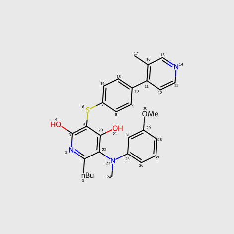 CCCCc1nc(O)c(Sc2ccc(-c3ccncc3C)cc2)c(O)c1N(C)c1cccc(OC)c1